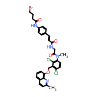 Cc1ccc2cccc(OCc3c(Cl)ccc(N(C)C(=O)CNC(=O)C=Cc4ccc(NC(=O)CCCBr)cc4)c3Cl)c2n1